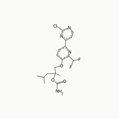 CC(C)CC(C)(COc1ccc(-c2ccnc(Cl)n2)nc1C(F)F)OC(N)=O